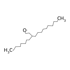 CCCCCCCCCCC(CC[O])CCCCCCCC